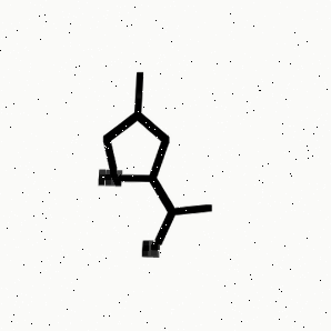 CCC(C)C1CC(C)CN1